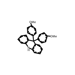 COc1ccc(C2(c3ccc(OC)cc3)c3ccccc3Nc3ccccc32)cc1